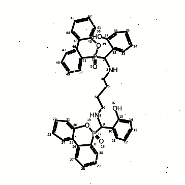 O=P1(C(NCCCCNC(c2ccccc2O)P2(=O)Oc3ccccc3-c3ccccc32)c2ccccc2O)Oc2ccccc2-c2ccccc21